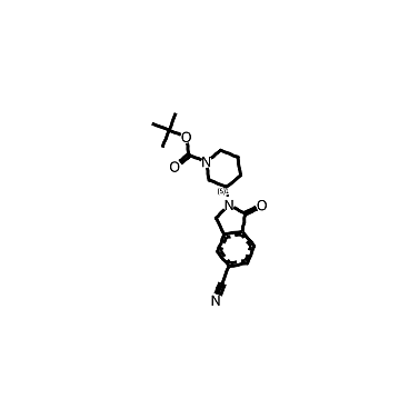 CC(C)(C)OC(=O)N1CCC[C@H](N2Cc3cc(C#N)ccc3C2=O)C1